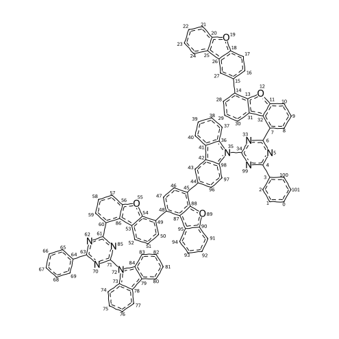 c1ccc(-c2nc(-c3cccc4oc5c(-c6ccc7oc8ccccc8c7c6)cccc5c34)nc(-n3c4ccccc4c4cc(-c5ccc(-c6cccc7c6oc6cccc(-c8nc(-c9ccccc9)nc(-n9c%10ccccc%10c%10ccccc%109)n8)c67)c6c5oc5ccccc56)ccc43)n2)cc1